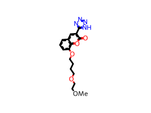 COCCOCCCCOc1cccc2cc(-c3nnn[nH]3)c(=O)oc12